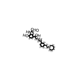 O=CC1Nc2c(O)ccc([C@@H](O)CNCCc3cccc(CCN4CCCCCC4)c3)c2S1